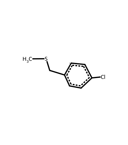 CSCc1[c]cc(Cl)cc1